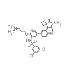 CN(C)CCCOc1ncc(-c2ccc3ncc4c(c3c2)C2(CCC2)C(=O)N4C)cc1NS(=O)(=O)c1cc(Cl)cc(Cl)c1